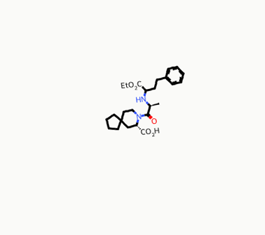 CCOC(=O)C(CCc1ccccc1)N[C@@H](C)C(=O)N1CCC2(CCCC2)C[C@H]1C(=O)O